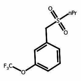 CCCS(=O)(=O)Cc1cccc(OC(F)(F)F)c1